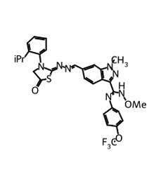 CONC(=Nc1ccc(OC(F)(F)F)cc1)c1nn(C)c2cc(/C=N/N=C3\SC(=O)CN3c3ccccc3C(C)C)ccc12